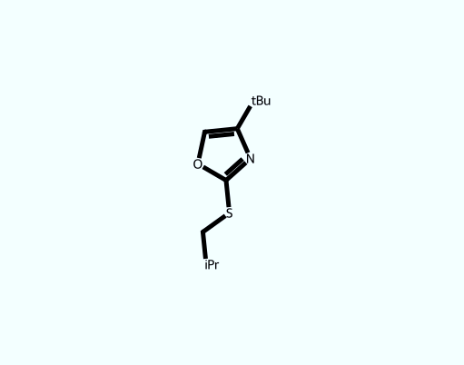 CC(C)CSc1nc(C(C)(C)C)co1